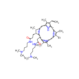 C=Cc1c(C)c2cc3nc(c(CC(=O)NCCCCN(C)C)c4[nH]c(cc5nc(cc1[nH]2)C(C)=C5CC)c(C)c4C(=O)O)[C@@H](CCC(=O)NCCCCN(C)C)[C@@H]3C